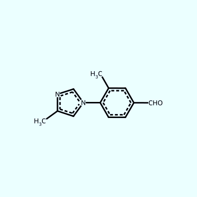 Cc1cn(-c2ccc(C=O)cc2C)cn1